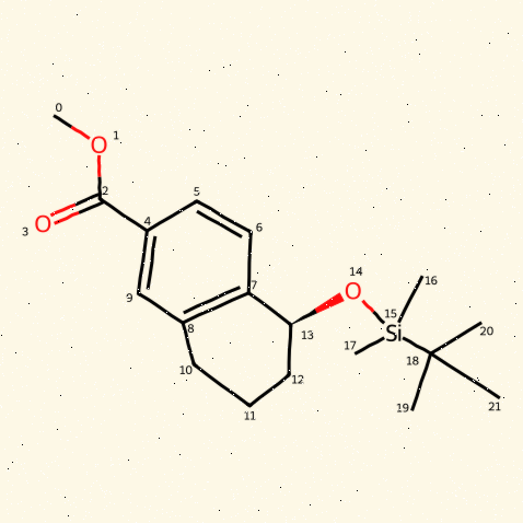 COC(=O)c1ccc2c(c1)CCC[C@@H]2O[Si](C)(C)C(C)(C)C